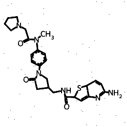 CN(C(=O)CN1CCCC1)c1ccc(N2CC(CNC(=O)C3C=C4N=C(N)C=CC4S3)CC2=O)cc1